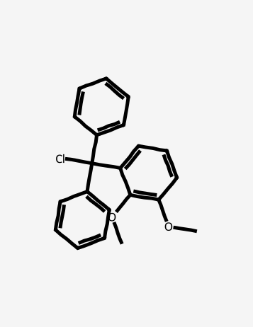 COc1cccc(C(Cl)(c2ccccc2)c2ccccc2)c1OC